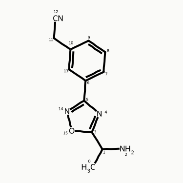 CC(N)c1nc(-c2cccc(CC#N)c2)no1